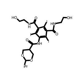 CC(C)C1OCC(C(=O)Nc2c(I)c(C(=O)NCCO)c(I)c(C(=O)NCCO)c2I)CO1